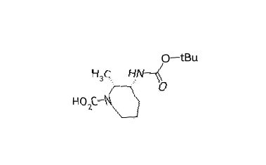 C[C@@H]1[C@H](NC(=O)OC(C)(C)C)CCCN1C(=O)O